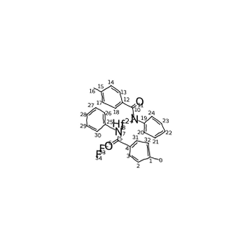 Cc1ccc(C(=O)[N]([Hf+2][N](C(=O)c2ccc(C)cc2)c2ccccc2)c2ccccc2)cc1.[F-].[F-]